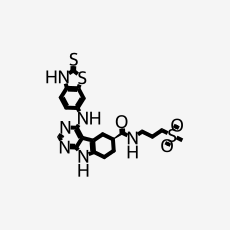 CS(=O)(=O)CCCNC(=O)[C@H]1CCc2[nH]c3ncnc(Nc4ccc5[nH]c(=S)sc5c4)c3c2C1